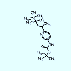 CC(CC(C)(C)[Si](C)(C)O)c1ccc(NC(=O)OC(C)(C)C)cn1